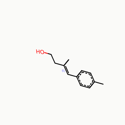 C/C(=C\c1ccc(C)cc1)CCO